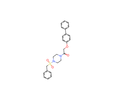 O=C(COc1ccc(-c2ccccc2)cc1)N1CCN(S(=O)(=O)Cc2ccccc2)CC1